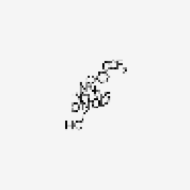 Cn1c(=O)n(CCCO)c(=O)c2c1nc(Oc1cccc(OC(F)(F)F)c1)n2Cc1nccs1